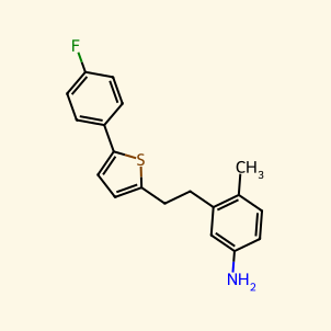 Cc1ccc(N)cc1CCc1ccc(-c2ccc(F)cc2)s1